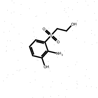 Nc1c(O)cccc1S(=O)(=O)CCO